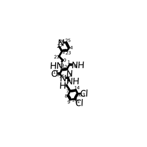 N=Cc1nc(NCc2ccc(Cl)c(Cl)c2)[nH]c(=O)c1NCCc1cccnc1